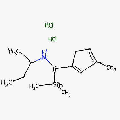 CCC(C)[NH][Ti]([C]1=CC(C)=CC1)[SiH](C)C.Cl.Cl